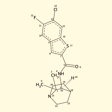 CC1(C)[C@@H](NC(=O)c2cc3cc(F)c(Cl)cc3s2)C2CCN1CC2